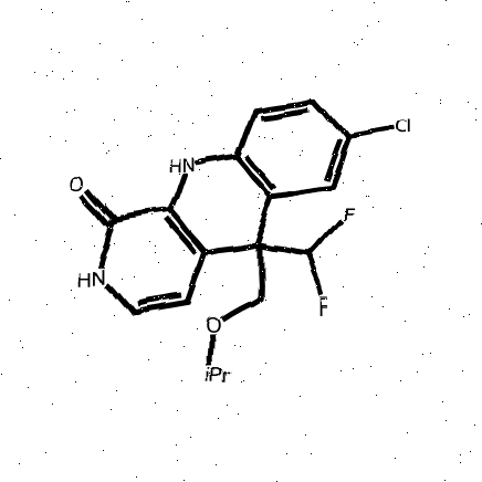 CC(C)OCC1(C(F)F)c2cc(Cl)ccc2Nc2c1cc[nH]c2=O